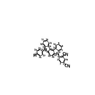 N#Cc1ccc(-n2c3ccccc3c3c4c5ccccc5n(-c5ccc(F)cc5)c4ccc32)c(C#N)c1